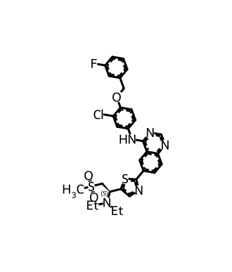 CCN(CC)[C@@H](CS(C)(=O)=O)c1cnc(-c2ccc3ncnc(Nc4ccc(OCc5cccc(F)c5)c(Cl)c4)c3c2)s1